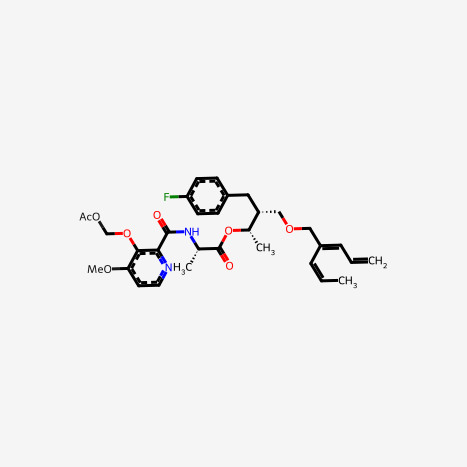 C=C/C=C(\C=C/C)COC[C@@H](Cc1ccc(F)cc1)[C@H](C)OC(=O)[C@H](C)NC(=O)c1nccc(OC)c1OCOC(C)=O